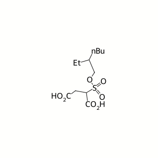 CCCCC(CC)COS(=O)(=O)C(CC(=O)O)C(=O)O